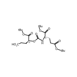 CC(C)(C)OC(=O)CC[C@H](NC(=O)O[C@@H](CCC(=O)O)C(=O)OC(C)(C)C)C(=O)OC(C)(C)C